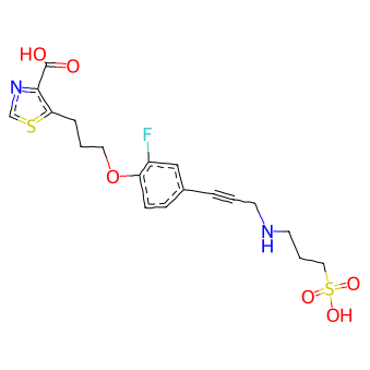 O=C(O)c1ncsc1CCCOc1ccc(C#CCNCCCS(=O)(=O)O)cc1F